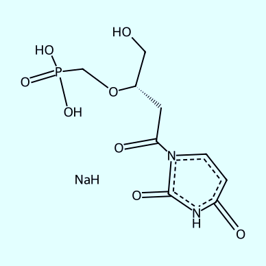 O=C(C[C@@H](CO)OCP(=O)(O)O)n1ccc(=O)[nH]c1=O.[NaH]